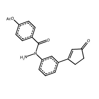 CC(=O)Oc1ccc(C(=O)N(N)c2cccc(C3=CC(=O)CC3)c2)cc1